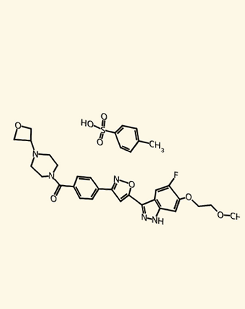 COCCOc1cc2[nH]nc(-c3cc(-c4ccc(C(=O)N5CCN(C6COC6)CC5)cc4)no3)c2cc1F.Cc1ccc(S(=O)(=O)O)cc1